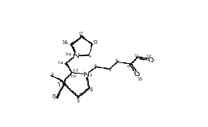 CC1(C)CCN(CCCC(=O)C=O)[C@@H]1CN1CCCC1